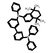 CC1(C)CCC(C)(C)c2cc(N(c3ccccc3)c3cccc(-c4cccc(N(c5ccccc5)c5ccccc5)c4)c3)ccc21